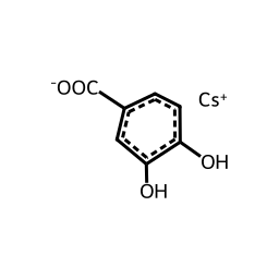 O=C([O-])c1ccc(O)c(O)c1.[Cs+]